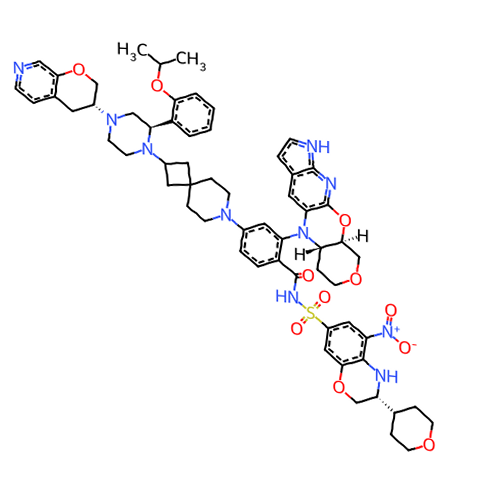 CC(C)Oc1ccccc1[C@@H]1CN([C@H]2COc3cnccc3C2)CCN1C1CC2(CCN(c3ccc(C(=O)NS(=O)(=O)c4cc5c(c([N+](=O)[O-])c4)N[C@H](C4CCOCC4)CO5)c(N4c5cc6cc[nH]c6nc5O[C@H]5COCC[C@@H]54)c3)CC2)C1